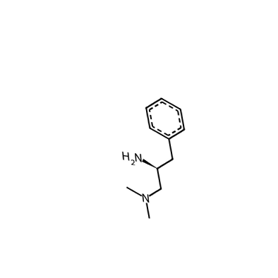 CN(C)C[C@@H](N)Cc1ccccc1